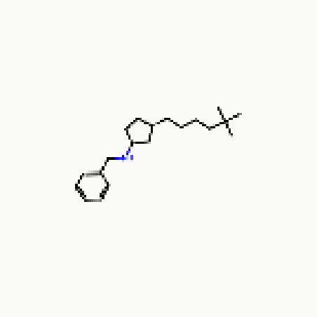 CC(C)(C)CCCC[C@@H]1CCC(NCc2ccccc2)C1